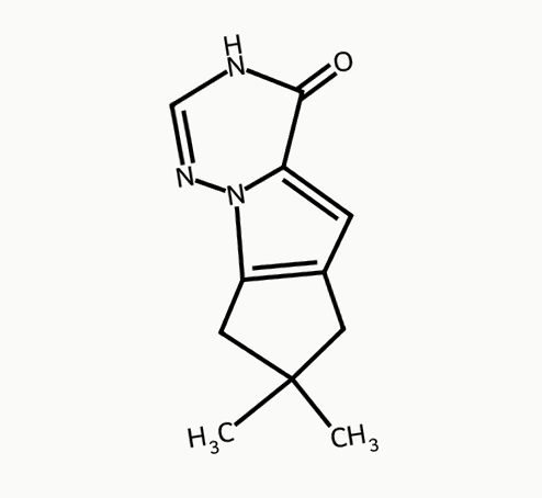 CC1(C)Cc2cc3c(=O)[nH]cnn3c2C1